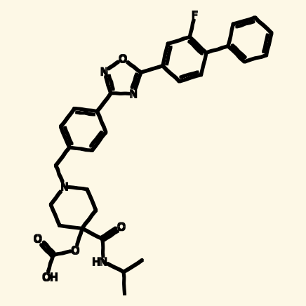 CC(C)NC(=O)C1(OC(=O)O)CCN(Cc2ccc(-c3noc(-c4ccc(-c5ccccc5)c(F)c4)n3)cc2)CC1